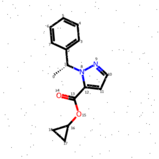 C[C@H](c1ccccc1)n1nccc1C(=O)OC1CC1